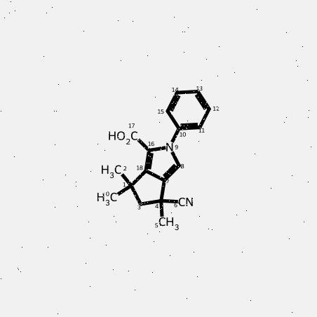 CC1(C)CC(C)(C#N)c2cn(-c3ccccc3)c(C(=O)O)c21